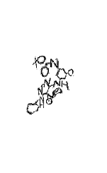 COc1cc(Nc2ncnc(NCc3ccccc3)c2[N+](=O)[O-])cc(N(C)C(=O)OC(C)(C)C)c1